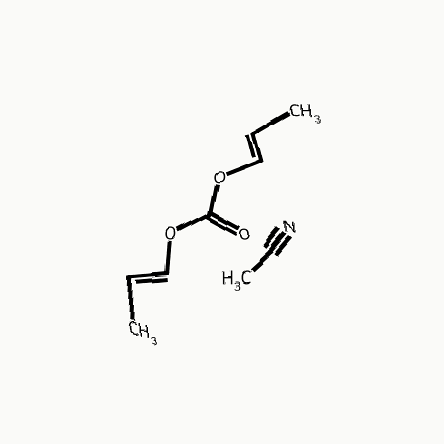 CC#N.CC=COC(=O)OC=CC